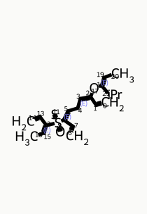 C=C/C(=C\C/C=C(\C=C)S(=O)(=S)/C(C=C)=C/C)O/C(=C/C)C(C)C